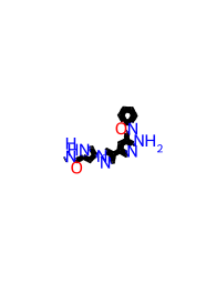 CNC(=O)C1CC(n2cc(-c3cnc(N)c(-c4nc5ccccc5o4)c3)cn2)CN1